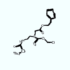 CC(C)(C)OC(=O)NCCN(CC(=O)OCc1ccccc1)C(=O)OCCl